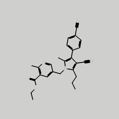 CCCc1c(C#N)c(-c2ccc(C#N)cc2)c(C)n1Cc1cnc(Cl)c(C(=O)OCC)c1